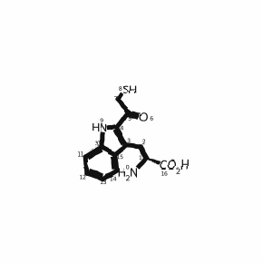 N[C@@H](Cc1c(C(=O)CS)[nH]c2ccccc12)C(=O)O